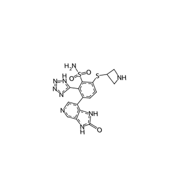 NS(=O)(=O)c1c(SC2CNC2)ccc(-c2cncc3[nH]c(=O)[nH]c23)c1-c1nnn[nH]1